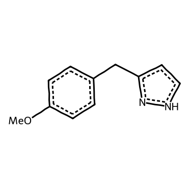 COc1ccc(Cc2cc[nH]n2)cc1